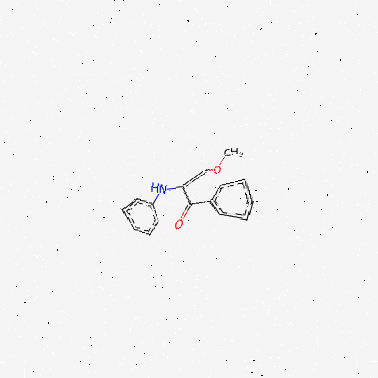 COC=C(Nc1ccccc1)C(=O)c1ccccc1